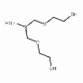 O=C(O)N(COCCO)COCCO